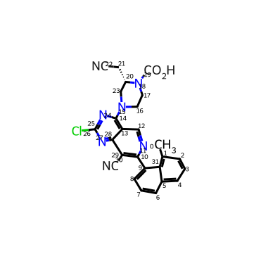 Cc1cccc2cccc(-c3ncc4c(N5CCN(C(=O)O)[C@@H](CC#N)C5)nc(Cl)nc4c3C#N)c12